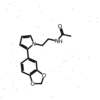 CC(=O)NCCn1cccc1-c1ccc2c(c1)OCO2